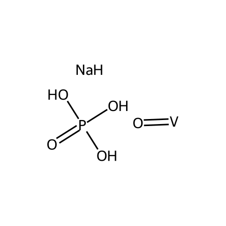 O=P(O)(O)O.[NaH].[O]=[V]